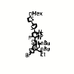 CCCCCCc1ccc(-c2ccc(-c3cc(F)c(-c4cc5c(s4)-c4sc(Br)cc4[Si]5(CC(CC)CCCC)CC(CC)CCCC)c4nsnc34)s2)s1